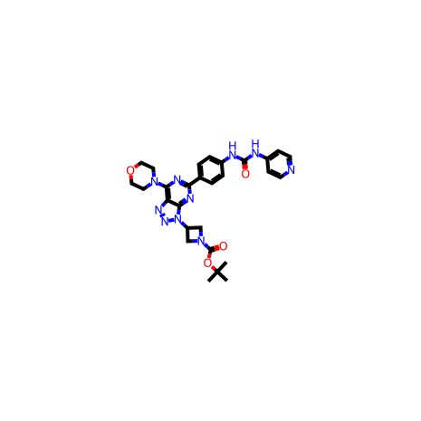 CC(C)(C)OC(=O)N1CC(n2nnc3c(N4CCOCC4)nc(-c4ccc(NC(=O)Nc5ccncc5)cc4)nc32)C1